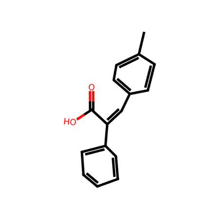 Cc1ccc(C=C(C(=O)O)c2ccccc2)cc1